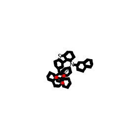 c1ccc2cc(N(c3ccc(-c4cccc5ccccc45)cc3)c3cccc4sc5ccc6c7ccc8ccccc8c7oc6c5c34)ccc2c1